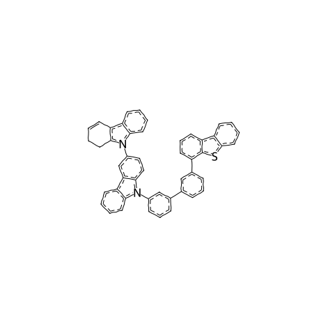 C1=Cc2c(n(-c3ccc4c(c3)c3ccccc3n4-c3cccc(-c4cccc(-c5cccc6c5sc5ccccc56)c4)c3)c3ccccc23)CC1